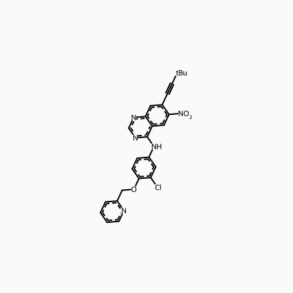 [CH2]C(C)(C)C#Cc1cc2ncnc(Nc3ccc(OCc4ccccn4)c(Cl)c3)c2cc1[N+](=O)[O-]